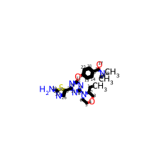 CCC1COCCN1c1nc(Oc2ccc(C(=O)N(C)C)cc2)nc(-c2cnc(N)s2)n1